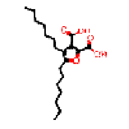 CCCCCCCc1oc(C(=O)O)c(C(=O)O)c1CCCCCCC